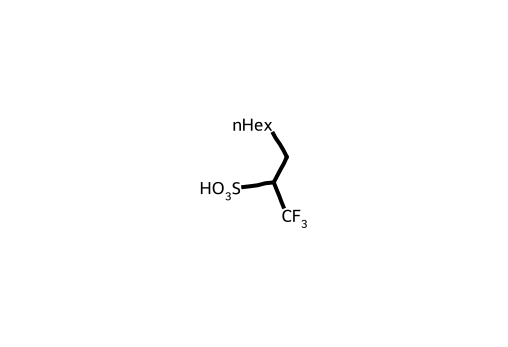 CCCCCCCC(C(F)(F)F)S(=O)(=O)O